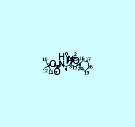 CN(C)C(CNC(=O)OC(C)(C)C)CC1(O)CCCCC1